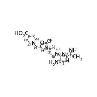 CC(=N)c1ncc(N)c(N2CCC(N3CC(CN4CCC(C(=O)O)CC4)OC3=O)CC2)n1